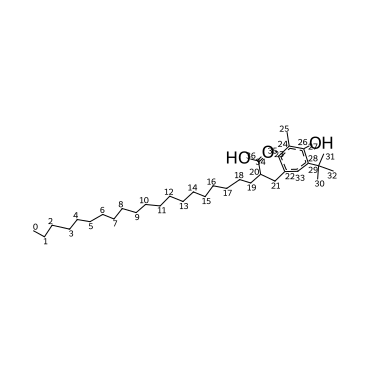 CCCCCCCCCCCCCCCCCCCCC(Cc1cc(C)c(O)c(C(C)(C)C)c1)C(=O)O